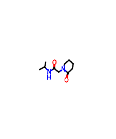 CC(C)NC(=O)CN1CCCCC1=O